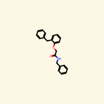 O=C(COc1ccccc1Cc1ccccc1)NCc1ccccc1